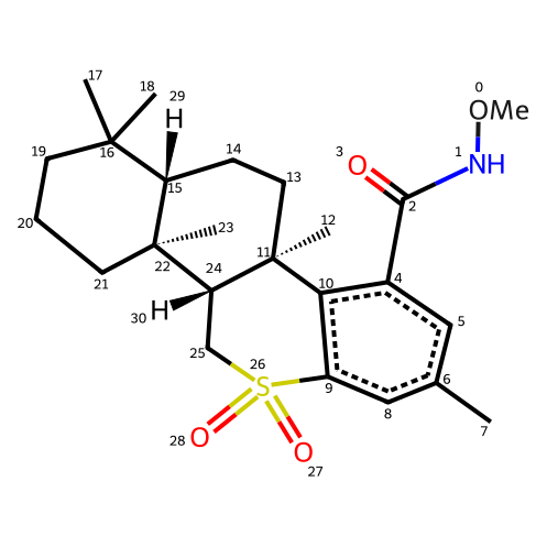 CONC(=O)c1cc(C)cc2c1[C@]1(C)CC[C@H]3C(C)(C)CCC[C@]3(C)[C@H]1CS2(=O)=O